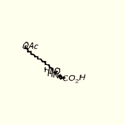 CC(=O)OCCCCCCCCCCCCCCCCNC(=O)NC12CC(C(=O)O)(C1)C2